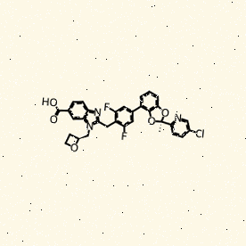 C[C@@]1(c2ccc(Cl)cn2)Oc2cccc(-c3cc(F)c(Cc4nc5ccc(C(=O)O)cc5n4C[C@@H]4CCO4)c(F)c3)c2O1